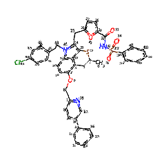 CC1Cc2c(OCc3ccc(-c4ccccc4)cn3)ccc3c2c(c(Cc2ccc(C(=O)NS(=O)(=O)c4ccccc4)o2)n3Cc2ccc(Cl)cc2)S1